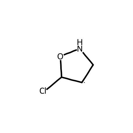 ClC1[CH]CNO1